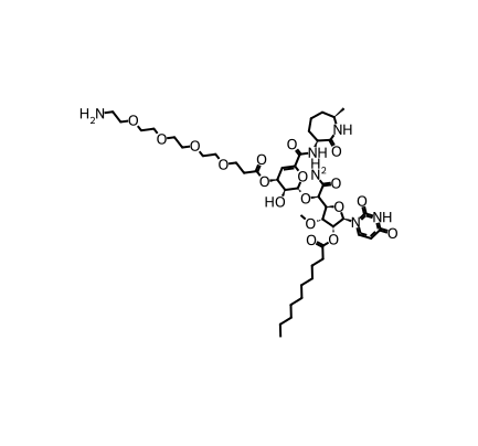 CCCCCCCCCC(=O)O[C@@H]1[C@H](OC)[C@@H]([C@@H](O[C@H]2OC(C(=O)N[C@H]3CCC[C@@H](C)NC3=O)=C[C@H](OC(=O)CCOCCOCCOCCOCCN)[C@@H]2O)C(N)=O)O[C@H]1n1ccc(=O)[nH]c1=O